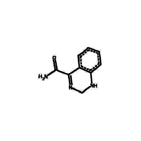 NC(=O)C1=NCNc2ccccc21